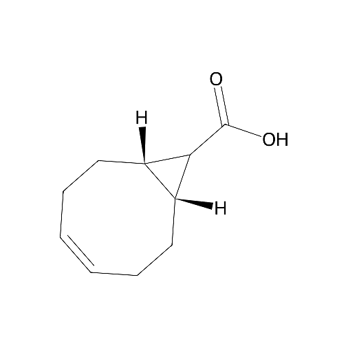 O=C(O)C1[C@H]2CC/C=C\CC[C@@H]12